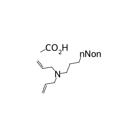 C=CCN(CC=C)CCCCCCCCCCCC.CC(=O)O